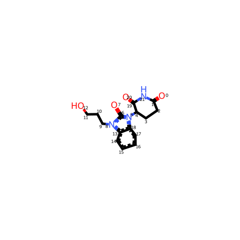 O=C1CCC(n2c(=O)n(CCCO)c3ccccc32)C(=O)N1